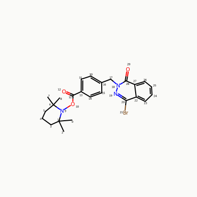 CC1(C)CCCC(C)(C)N1OC(=O)c1ccc(Cn2nc(Br)c3ccccc3c2=O)cc1